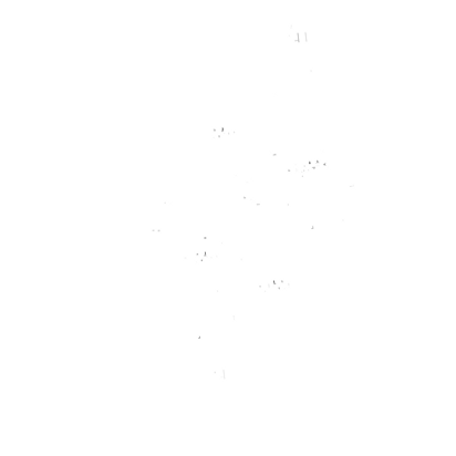 CO[Si](CCCS)(OC)O[Si](O[Si](CCCS)(OC)OC)(c1ccccc1)c1ccccc1